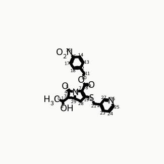 CC(O)C1C(=O)N2C(C(=O)OCc3ccc([N+](=O)[O-])cc3)=C(SCc3cccnc3)CC12